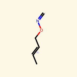 [CH]=NOC/C=C/C